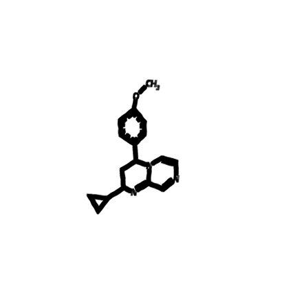 COc1ccc(C2CC(C3CC3)N=C3C=NC=CN32)cc1